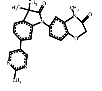 Cc1ncc(-c2ccc3c(c2)N(c2ccc4c(c2)N(C)C(=O)CO4)C(=O)C3(C)C)cn1